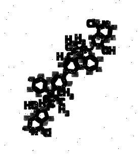 CC(C)(C)[Si](OC[C@@H]1Cc2c(ccnc2Cl)[C@H]1O)(c1ccccc1)c1ccc(-c2ccc([Si](OC[C@@H]3Cc4c(ccnc4Cl)[C@@H]3O)(c3ccccc3)C(C)(C)C)cc2)cc1